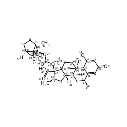 C[C@@H]1C[C@H]2[C@@H]3C[C@H](F)C4=CC(=O)C=C(O)[C@]4(C)[C@@]3(F)CC[C@]2(C)[C@@]1(OC(=O)O[C@H]1C[C@H]2CC[C@]1(C)C2(C)C)C(=O)O